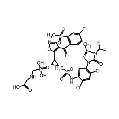 CS(=O)(=O)c1cc(Cl)ccc1C(=O)c1cnoc1C1CC1.Cc1nn(-c2cc(NS(C)(=O)=O)c(Cl)cc2Cl)c(=O)n1C(F)F.O=C(O)CNCP(=O)(O)O